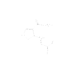 COC(=O)C1COCC1NCC(F)F